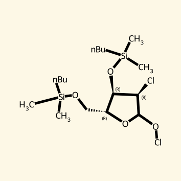 CCCC[Si](C)(C)OC[C@H]1OC(OCl)[C@H](Cl)[C@@H]1O[Si](C)(C)CCCC